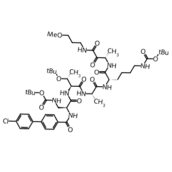 COCCCNC(=O)C(=O)[C@H](C)NC(=O)[C@H](CCCCNC(=O)OC(C)(C)C)NC(=O)[C@H](C)NC(=O)[C@@H](NC(=O)[C@H](CNC(=O)OC(C)(C)C)NC(=O)c1ccc(-c2ccc(Cl)cc2)cc1)[C@@H](C)OC(C)(C)C